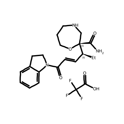 CC[C@@H](C=CC(=O)N1CCc2ccccc21)[C@@]1(C(N)=O)CNCCCO1.O=C(O)C(F)(F)F